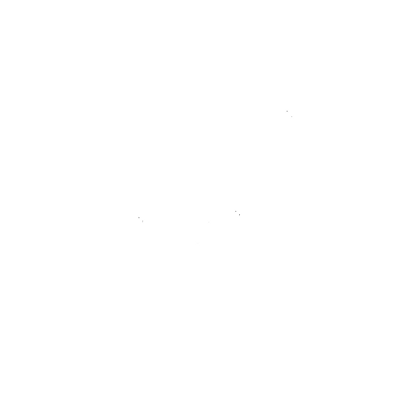 Cc1cc(-c2ccccc2)c(C(=O)C(=O)Nc2ccc(N3CCCCC3)cc2)n1C